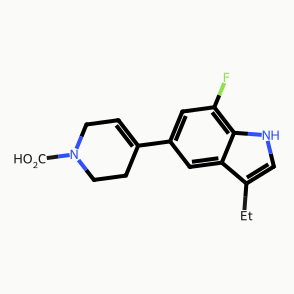 CCc1c[nH]c2c(F)cc(C3=CCN(C(=O)O)CC3)cc12